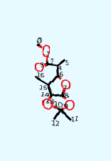 COC(=O)C(C)C1OC2OC(C)(C)OC2C1C